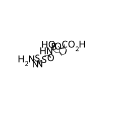 Nc1nnc(SCC(=O)NC2Cc3cccc(C(=O)O)c3OB2O)s1